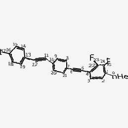 CCCCCCc1ccc(C#Cc2ccc(C#Cc3ccc(CC)cc3)cc2)c(F)c1F